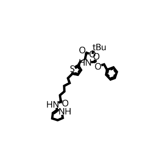 CC(C)(C)OC(=O)[C@H](Cc1ccc(CCCCCC(=O)NC2=CCCCN2)s1)NC(=O)OCc1ccccc1